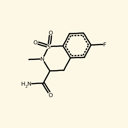 CN1C(C(N)=O)Cc2cc(F)ccc2S1(=O)=O